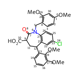 COc1ccc(CN2C(=O)C(C(=O)O)CC(c3cccc(OC)c3OC)c3cc(Cl)ccc32)c(OC)c1